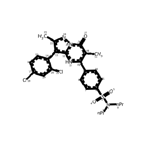 CCCN(CCC)S(=O)(=O)c1ccc(-c2[nH]c3c(-c4ccc(Cl)cc4Cl)c(C)nn3c(=O)c2C)cc1